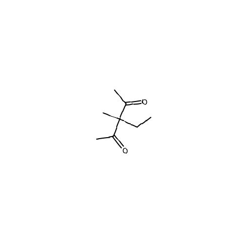 CCC(C)(C(C)=O)C(C)=O